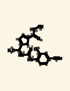 COc1ccc(NC(=O)NC(C)c2ccc(C(=O)NO)s2)c(Cl)c1